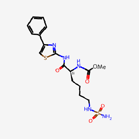 COC(=O)N[C@@H](CCCCNS(N)(=O)=O)C(=O)Nc1nc(-c2ccccc2)cs1